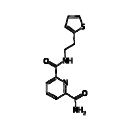 NC(=O)c1cccc(C(=O)NCCc2cccs2)n1